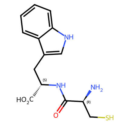 N[C@@H](CS)C(=O)N[C@@H](Cc1c[nH]c2ccccc12)C(=O)O